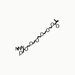 C=C(C)C(=O)OCCOCCOCCOCCOCCOC(COC)N=[N+]=[N-]